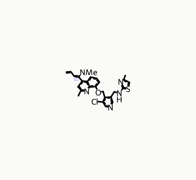 C=C/C=C(\NC)c1cc(C)nc2c(OCc3c(Cl)cncc3CNc3nc(C)cs3)cccc12